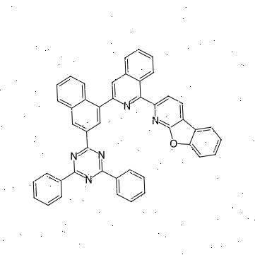 c1ccc(-c2nc(-c3ccccc3)nc(-c3cc(-c4cc5ccccc5c(-c5ccc6c(n5)oc5ccccc56)n4)c4ccccc4c3)n2)cc1